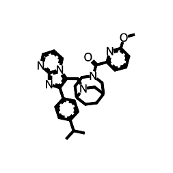 COc1cccc(C(=O)N2CCC3CCC(C2)CN3Cc2c(-c3ccc(C(C)C)cc3)nc3ncccn23)n1